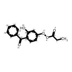 CCC(=O)OOc1ccc(C(=O)c2ccccc2)c(O)c1